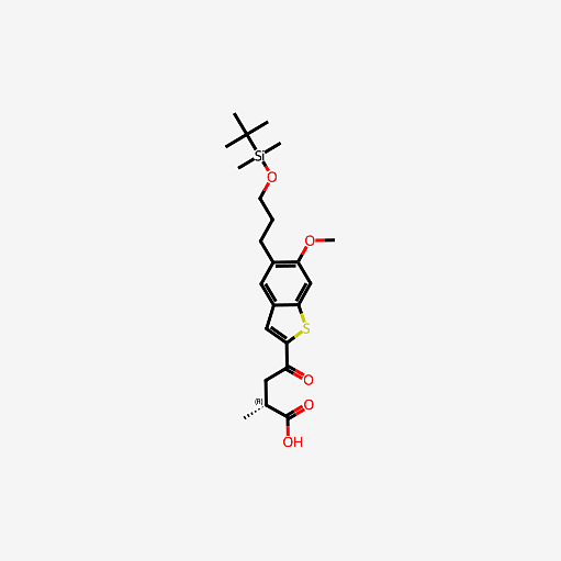 COc1cc2sc(C(=O)C[C@@H](C)C(=O)O)cc2cc1CCCO[Si](C)(C)C(C)(C)C